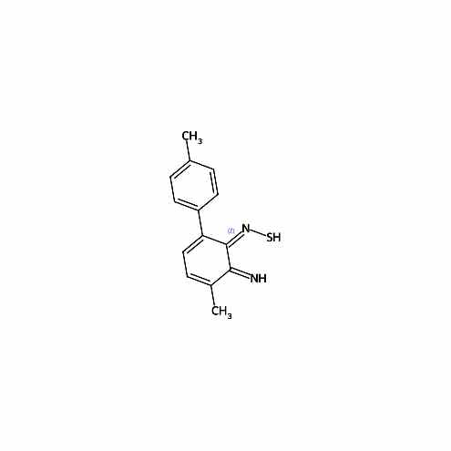 CC1=CC=C(c2ccc(C)cc2)/C(=N/S)C1=N